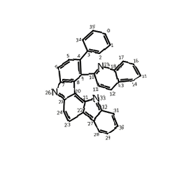 c1ccc(-c2ccc3c(c2-c2ccc4ccccc4n2)-c2c4c(ccc2=N3)=c2ccccc2=N4)cc1